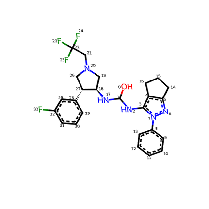 OC(Nc1c2c(nn1-c1ccccc1)CCC2)N[C@@H]1CN(CC(F)(F)F)C[C@H]1c1cccc(F)c1